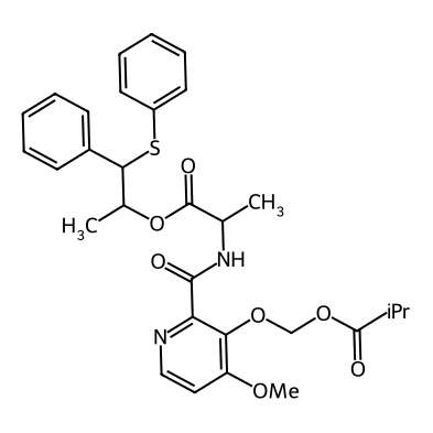 COc1ccnc(C(=O)NC(C)C(=O)OC(C)C(Sc2ccccc2)c2ccccc2)c1OCOC(=O)C(C)C